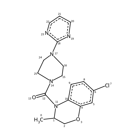 CC1COc2cc(Cl)ccc2N1C(=O)N1CCN(c2ncccn2)CC1